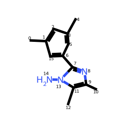 Cc1cc(C)cc(-c2nc(C)c(C)n2N)c1